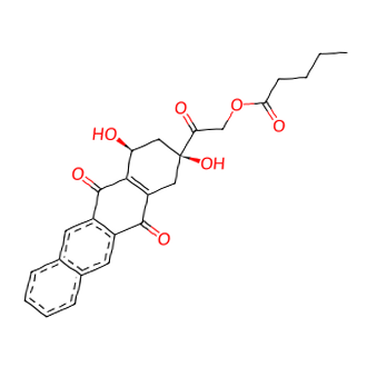 CCCCC(=O)OCC(=O)[C@]1(O)CC2=C(C(=O)c3cc4ccccc4cc3C2=O)[C@@H](O)C1